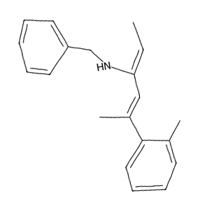 CC=C(C=C(C)c1ccccc1C)NCc1ccccc1